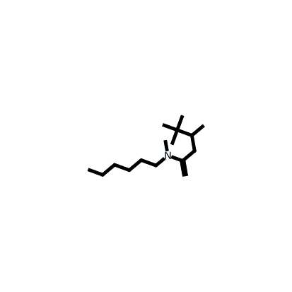 C=C(CC(C)C(C)(C)C)N(C)CCCCCC